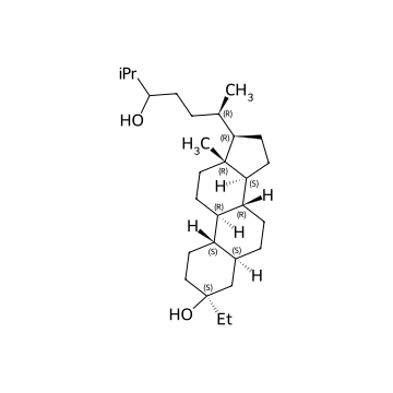 CC[C@]1(O)CC[C@H]2[C@@H](CC[C@@H]3[C@@H]2CC[C@]2(C)[C@@H]([C@H](C)CCC(O)C(C)C)CC[C@@H]32)C1